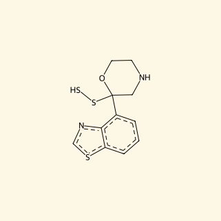 SSC1(c2cccc3scnc23)CNCCO1